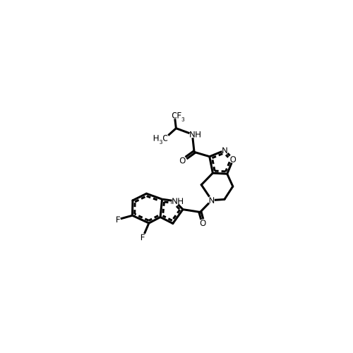 CC(NC(=O)c1noc2c1CN(C(=O)c1cc3c(F)c(F)ccc3[nH]1)CC2)C(F)(F)F